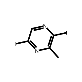 Cc1nc(I)cnc1I